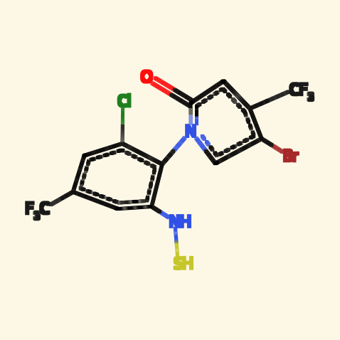 O=c1cc(C(F)(F)F)c(Br)cn1-c1c(Cl)cc(C(F)(F)F)cc1NS